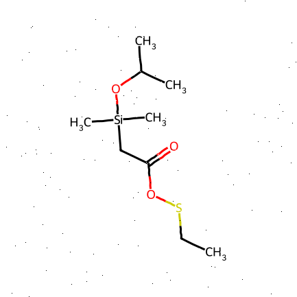 CCSOC(=O)C[Si](C)(C)OC(C)C